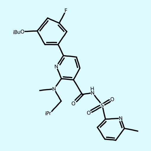 Cc1cccc(S(=O)(=O)NC(=O)c2ccc(-c3cc(F)cc(OCC(C)C)c3)nc2N(C)CC(C)C)n1